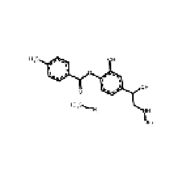 CS(=O)(=O)O.Cc1ccc(C(=O)Oc2ccc(C(O)CNC(C)(C)C)cc2O)cc1